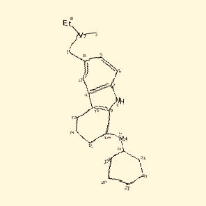 CCN(C)Cc1ccc2[nH]c3c(c2c1)CCCC3NC1CCCCC1